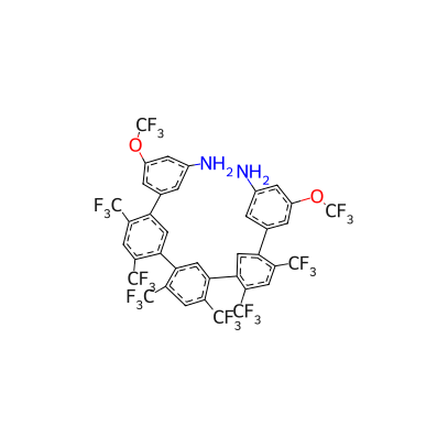 Nc1cc(OC(F)(F)F)cc(-c2cc(-c3cc(-c4cc(-c5cc(N)cc(OC(F)(F)F)c5)c(C(F)(F)F)cc4C(F)(F)F)c(C(F)(F)F)cc3C(F)(F)F)c(C(F)(F)F)cc2C(F)(F)F)c1